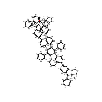 CC12CCCC1c1cc(-c3ccc4c5c(-c6ccccc6)c6c7ccc(-c8ccc9c(c8)C8CCCC8(C)N9c8ccccc8)c8c(-c9ccc%10c(c9)C9CCCC9(C)N%10c9ccccc9)ccc(c6c(-c6ccccc6)c5c5cccc3c54)c87)ccc1N2c1ccccc1